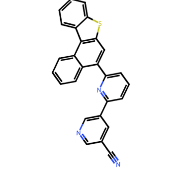 N#Cc1cncc(-c2cccc(-c3cc4sc5ccccc5c4c4ccccc34)n2)c1